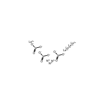 O=[Si]([O-])[O-].O=[Si]([O-])[O-].O=[Si]([O-])[O-].[La+3].[La+3].[La+3].[La+3].[La+3].[N-3].[N-3].[N-3]